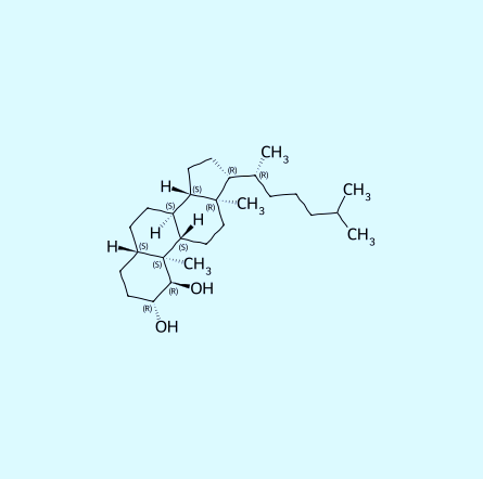 CC(C)CCC[C@@H](C)[C@H]1CC[C@H]2[C@@H]3CC[C@H]4CC[C@@H](O)[C@H](O)[C@]4(C)[C@H]3CC[C@]12C